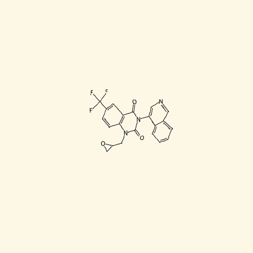 O=c1c2cc(C(F)(F)F)ccc2n(CC2CO2)c(=O)n1-c1cncc2ccccc12